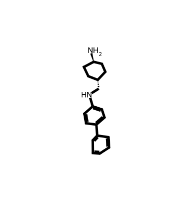 N[C@H]1CC[C@H](CNc2ccc(-c3ccccc3)cc2)CC1